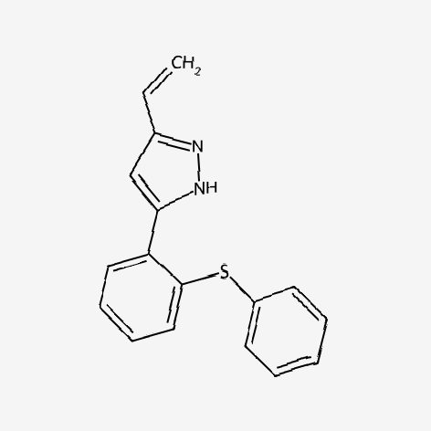 C=Cc1cc(-c2ccccc2Sc2ccccc2)[nH]n1